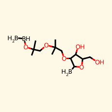 BBOC(C)(C)COC(C)(C)COC1C(B)OC(CO)C1O